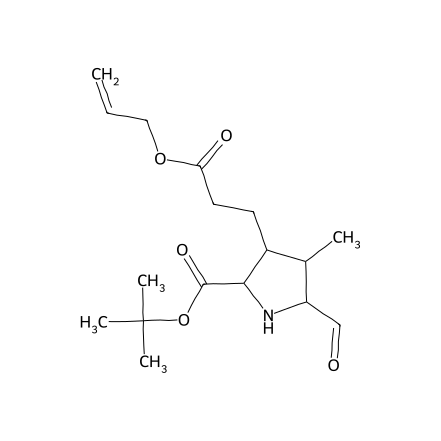 C=CCOC(=O)CCC1C(C(=O)OC(C)(C)C)NC(C=O)C1C